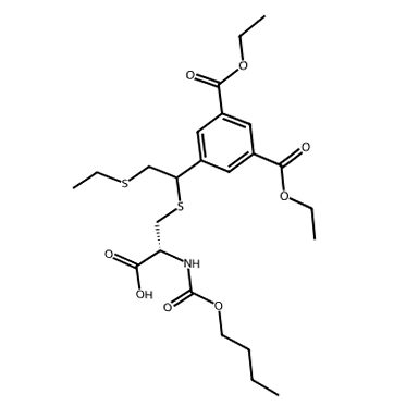 CCCCOC(=O)N[C@@H](CSC(CSCC)c1cc(C(=O)OCC)cc(C(=O)OCC)c1)C(=O)O